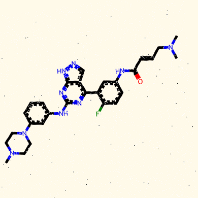 CN(C)C/C=C/C(=O)Nc1ccc(F)c(-c2nc(Nc3cccc(N4CCN(C)CC4)c3)nc3[nH]ncc23)c1